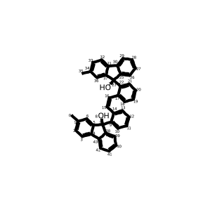 Cc1ccc2c(c1)C(O)(c1ccccc1/C=C\c1ccccc1C1(O)c3ccccc3-c3ccc(C)cc31)c1ccccc1-2